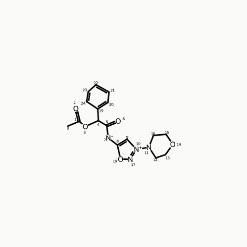 CC(=O)OC(C(=O)[N-]c1c[n+](N2CCOCC2)no1)c1ccccc1